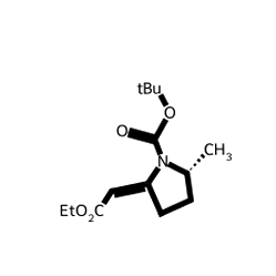 CCOC(=O)/C=C1\CC[C@@H](C)N1C(=O)OC(C)(C)C